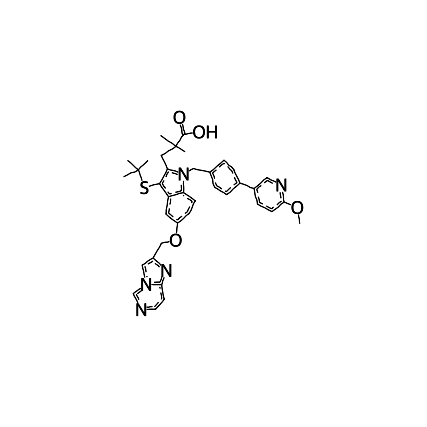 COc1ccc(-c2ccc(Cn3c(CC(C)(C)C(=O)O)c(SC(C)(C)C)c4cc(OCc5cn6cnccc6n5)ccc43)cc2)cn1